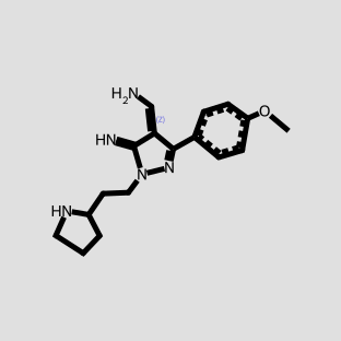 COc1ccc(C2=NN(CCC3CCCN3)C(=N)/C2=C\N)cc1